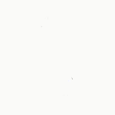 CC/C=C/[C@H]1CC[C@H](CCc2ccc(-c3ccc(Cl)c(F)c3)cc2)CC1